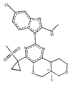 CNc1nc2cc(Cl)ccc2n1-c1nc2c(c(C3(S(C)(=O)=O)CC3)n1)OC[C@@H]1COCCN21